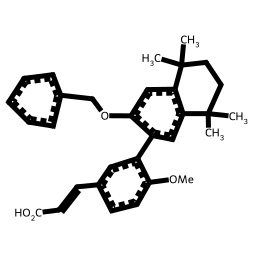 COc1ccc(/C=C/C(=O)O)cc1-c1cc2c(cc1OCc1ccccc1)C(C)(C)CCC2(C)C